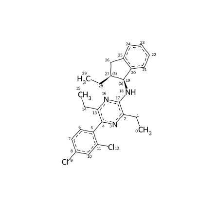 CCc1nc(-c2ccc(Cl)cc2Cl)c(CC)nc1N[C@@H]1c2ccccc2C[C@@H]1CC